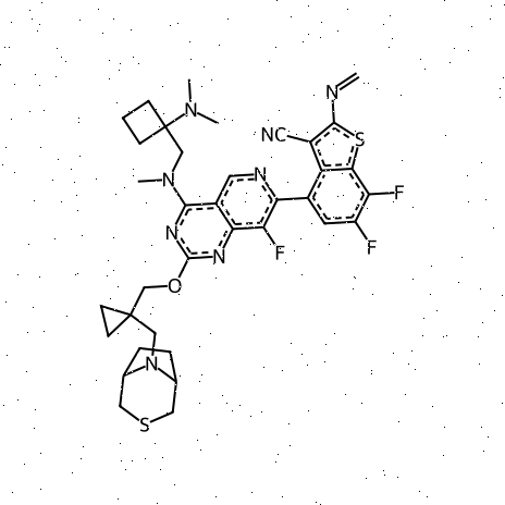 C=Nc1sc2c(F)c(F)cc(-c3ncc4c(N(C)CC5(N(C)C)CCC5)nc(OCC5(CN6C7CCC6CSC7)CC5)nc4c3F)c2c1C#N